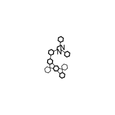 c1ccc(-c2cc(-c3cccc(-c4ccc5c(c4)-c4cc6c(cc4C54CCCCC4)-c4ccccc4C64CCCCC4)c3)nc(-c3ccccc3)n2)cc1